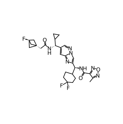 Cc1nonc1C(=O)N[C@H](c1cn2ncc([C@H](NC(=O)C[C@]34C[C@@](F)(C3)C4)C3CC3)cc2n1)C1CCC(F)(F)CC1